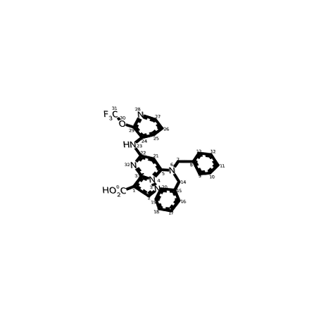 O=C(O)c1cnn2c(N(Cc3ccccc3)Cc3ccccc3)cc(Nc3cccnc3OC(F)(F)F)nc12